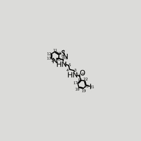 O=C(NCCCNc1nsc2cccnc12)c1cccc(I)c1